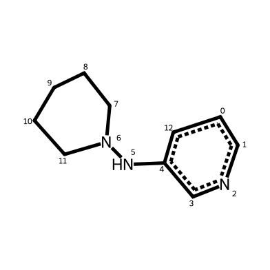 c1cncc(NN2CCCCC2)c1